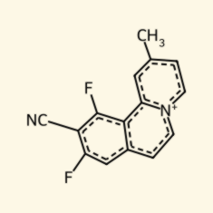 Cc1cc[n+]2ccc3cc(F)c(C#N)c(F)c3c2c1